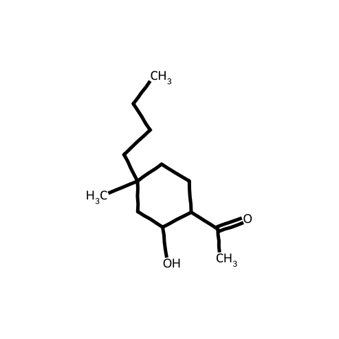 CCCCC1(C)CCC(C(C)=O)C(O)C1